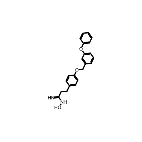 N=C(CCc1ccc(OCc2cccc(Oc3ccccc3)c2)cc1)NO